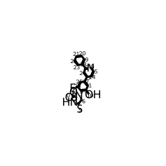 O=S1(=O)NC(=S)CN1c1c(O)cc(-c2ccnc(-c3ccccc3)c2)cc1F